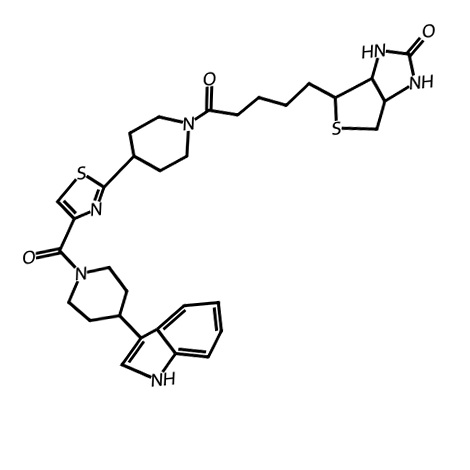 O=C1NC2CSC(CCCCC(=O)N3CCC(c4nc(C(=O)N5CCC(c6c[nH]c7ccccc67)CC5)cs4)CC3)C2N1